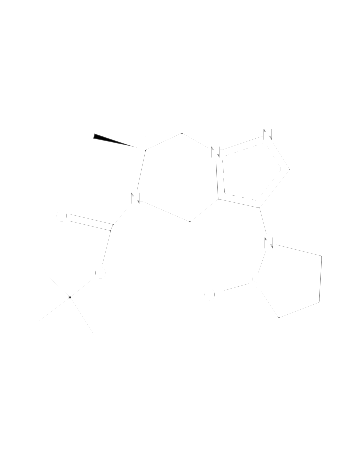 C[C@H]1Cn2ncc(N3CCC[S+]3[O-])c2CN1C(=O)OC(C)(C)C